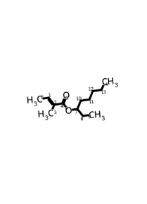 C/C=C(\C)C(=O)OC(CC)CCCCC